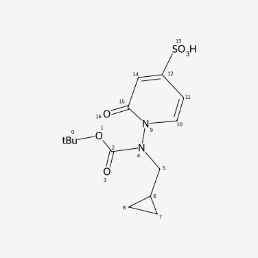 CC(C)(C)OC(=O)N(CC1CC1)n1ccc(S(=O)(=O)O)cc1=O